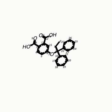 CCC(Oc1ccc(C(=O)O)c(C(=O)O)c1)(c1ccccc1)c1ccccc1